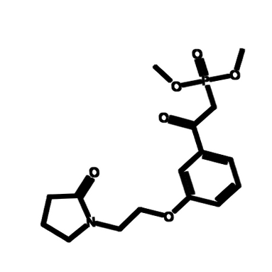 COP(=O)(CC(=O)c1cccc(OCCN2CCCC2=O)c1)OC